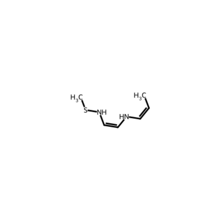 C/C=C\N/C=C\NSC